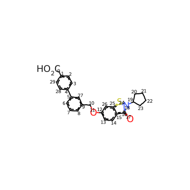 O=C(O)c1ccc(-c2cccc(COc3ccc4c(=O)n(C5CCCC5)sc4c3)c2)cc1